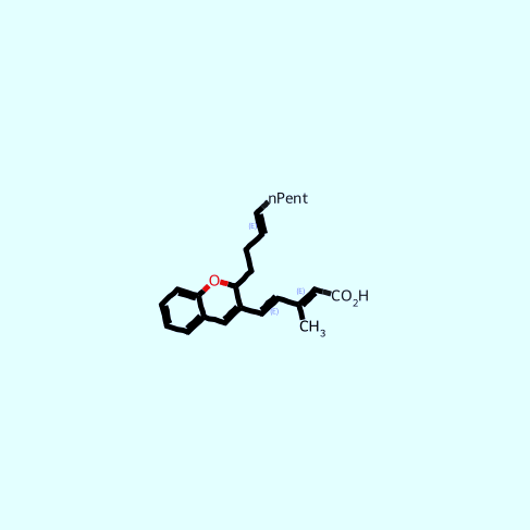 CCCCC/C=C/CCC1Oc2ccccc2C=C1/C=C/C(C)=C/C(=O)O